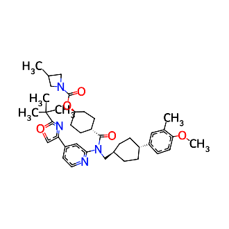 COc1ccc([C@H]2CC[C@H](CN(c3cc(-c4coc(C(C)(C)C)n4)ccn3)C(=O)[C@H]3CC[C@H](OC(=O)N4CC(C)C4)CC3)CC2)cc1C